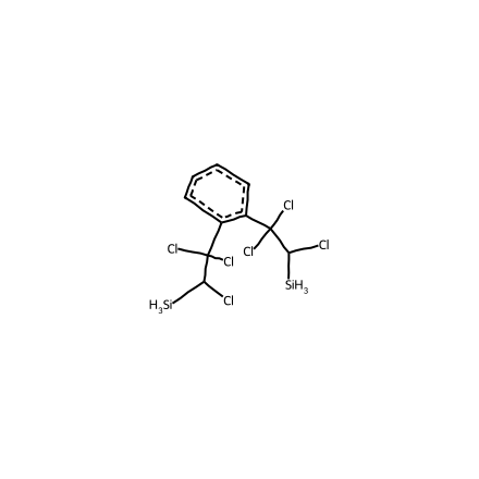 [SiH3]C(Cl)C(Cl)(Cl)c1ccccc1C(Cl)(Cl)C([SiH3])Cl